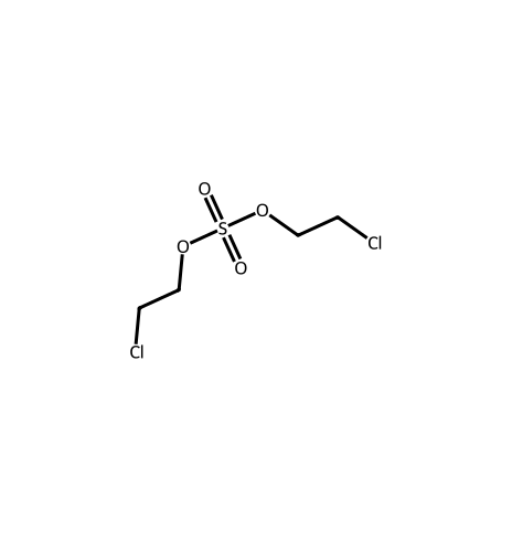 O=S(=O)(OCCCl)OCCCl